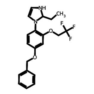 CCC1NC=CN1c1ccc(OCc2ccccc2)cc1OCC(F)(F)F